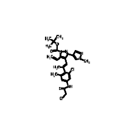 C=Cc1c(/C=C(\C)c2c(C)cc(NC(=O)CCl)cc2Cl)c(-c2cnn(C)c2)nn1C(=O)OC(C)(C)C